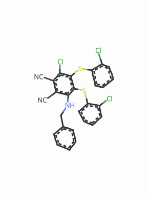 N#Cc1c(Cl)c(Sc2ccccc2Cl)c(Sc2ccccc2Cl)c(NCc2ccccc2)c1C#N